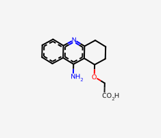 Nc1c2c(nc3ccccc13)CCCC2OCC(=O)O